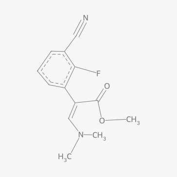 COC(=O)C(=CN(C)C)c1cccc(C#N)c1F